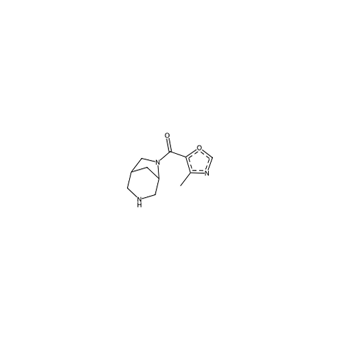 Cc1ncoc1C(=O)N1CC2CNCC1C2